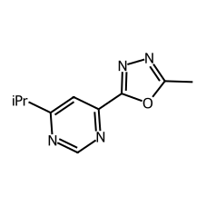 Cc1nnc(-c2cc(C(C)C)ncn2)o1